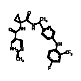 C=C/N=C\C(=C/N)C(=O)NC1(C(=O)NC(C)c2ccc(Nc3ccc(F)cc3C(F)(F)F)cn2)CC1